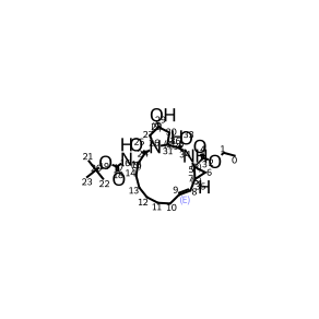 CCOC(=O)[C@@]12C[C@H]1/C=C/CCCCC[C@H](NC(=O)OC(C)(C)C)C(=O)N1C[C@@H](O)C[C@H]1C(=O)N2